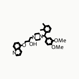 COc1ccc(C(c2cccc(C)c2C)N2CCN(CC(O)COc3cccc4ncccc34)CC2)cc1OC